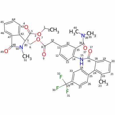 CCOC(=O)[C@]1(COC(=O)Cc2ccc(NC(=O)c3cccc(C)c3-c3ccc(C(F)(F)F)cc3)c(C(=O)N(C)C)c2)c2ccccc2C(=O)N1C